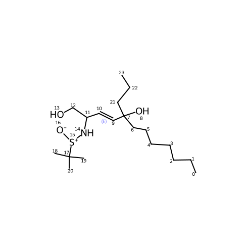 CCCCCCCC(O)(/C=C/C(CO)N[S+]([O-])C(C)(C)C)CCC